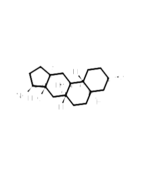 C[C@]12C[C@H]3CC[C@@H]4C[C@@H](O)CC[C@H]4[C@@H]3C[C@@H]1CC[C@@H]2C#N